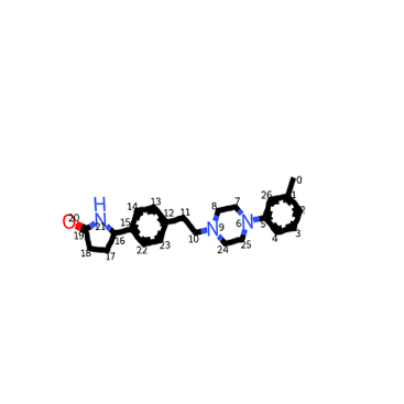 Cc1cccc(N2CCN(CCc3ccc(C4CCC(=O)N4)cc3)CC2)c1